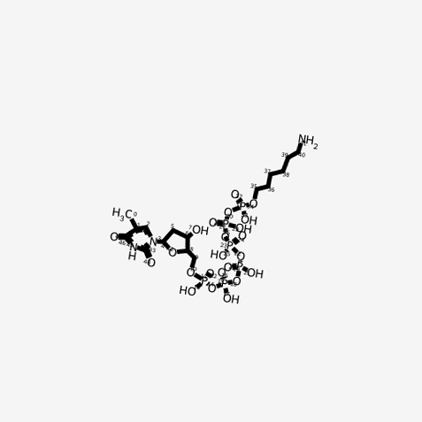 Cc1cn(C2CC(O)C(COP(=O)(O)OP(=O)(O)OP(=O)(O)OP(=O)(O)OP(=O)(O)OP(=O)(O)OCCCCCCN)O2)c(=O)[nH]c1=O